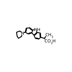 CC(C(=O)O)c1ccc2c(c1)[nH]c1ccc(N3CCCCC3)cc12